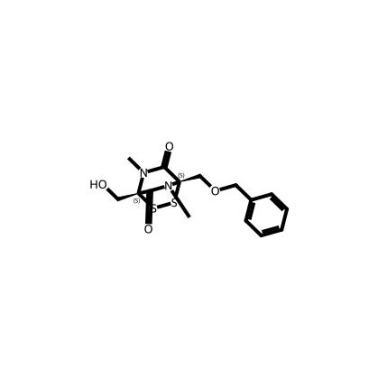 CN1C(=O)[C@]2(COCc3ccccc3)SS[C@@]1(CO)C(=O)N2C